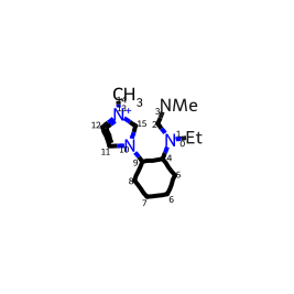 CCN(CNC)C1CCCCC1N1C=C=[N+](C)C1